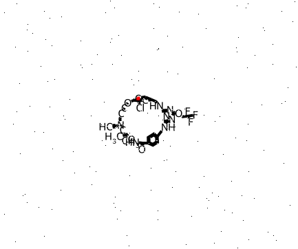 C#CN1CCCOc2ccc(cc2Cl)CNc2nc(nc(OCC(F)(F)F)n2)Nc2ccc(cc2)C(=O)NCC(C)(C)C1